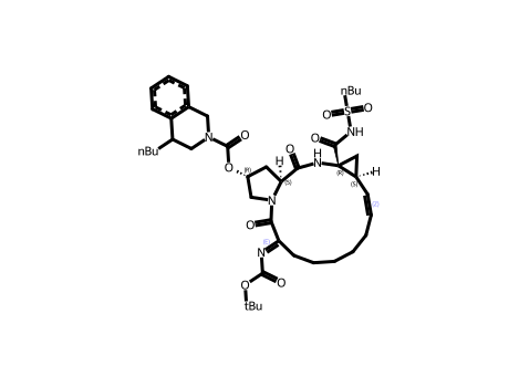 CCCCC1CN(C(=O)O[C@@H]2C[C@H]3C(=O)N[C@]4(C(=O)NS(=O)(=O)CCCC)C[C@H]4/C=C\CCCCC/C(=N\C(=O)OC(C)(C)C)C(=O)N3C2)Cc2ccccc21